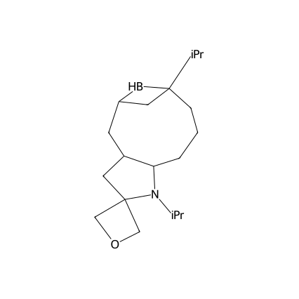 CC(C)N1C2CCCC3(C(C)C)BC(CC2CC12COC2)C3